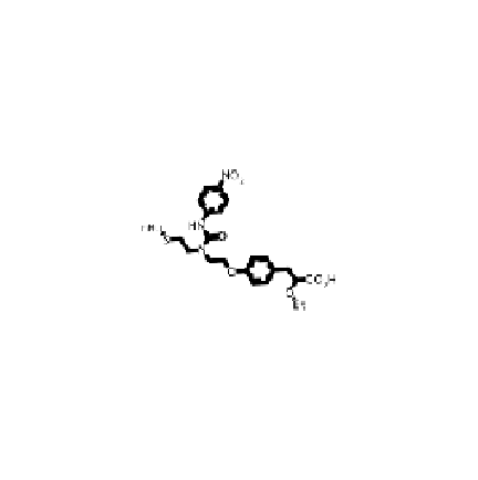 CCCCSCCN(CCOc1ccc(CC(OCC)C(=O)O)cc1)C(=O)Nc1ccc([N+](=O)[O-])cc1